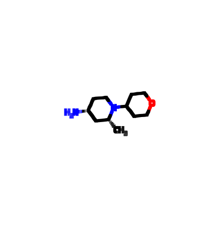 C[C@@H]1C[C@H](N)CCN1C1CCOCC1